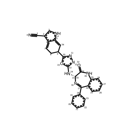 N#Cc1c[nH]c2c1=CCC(c1nnc(N[C@H]3N=C(c4ccccc4)c4ccccc4NC3=O)o1)C=2